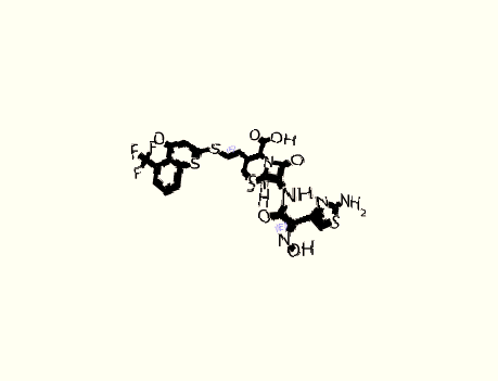 Nc1nc(/C(=N\O)C(=O)NC2C(=O)N3C(C(=O)O)=C(/C=C/Sc4cc(=O)c5c(C(F)(F)F)cccc5s4)CS[C@H]23)cs1